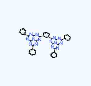 c1ccc(C2=NC3=NC(c4ccccc4)=NC4=NC(c5cccc(C6=NC7=NC(c8ccccc8)=NC8=NC(c9ccccc9)=NC(=N6)N87)c5)=NC(=N2)N34)cc1